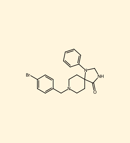 O=C1NCN(c2ccccc2)C12CCN(Cc1ccc(Br)cc1)CC2